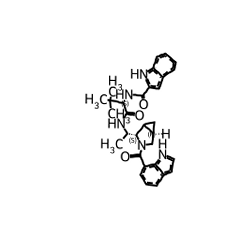 CC(NC(=O)[C@@H](NC(=O)c1cc2ccccc2[nH]1)C(C)(C)C)[C@@H]1C2C[C@H]2CN1C(=O)c1cccc2cc[nH]c12